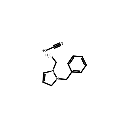 CCN1C=CCN1Cc1ccccc1.N#CS